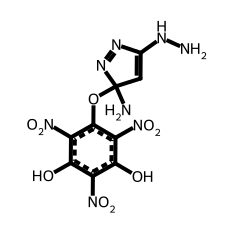 NNC1=CC(N)(Oc2c([N+](=O)[O-])c(O)c([N+](=O)[O-])c(O)c2[N+](=O)[O-])N=N1